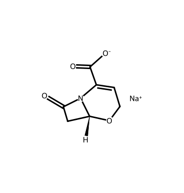 O=C([O-])C1=CCO[C@@H]2CC(=O)N12.[Na+]